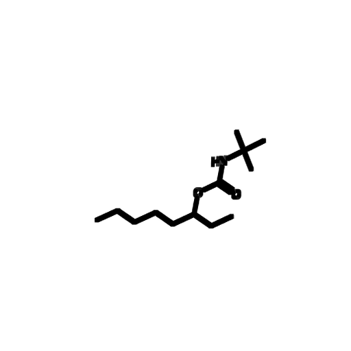 CCCCCC(CC)OC(=O)NC(C)(C)C